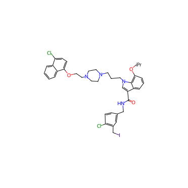 CC(C)Oc1cccc2c(C(=O)NCc3ccc(Cl)c(CI)c3)cn(CCCN3CCN(CCOc4ccc(Cl)c5ccccc45)CC3)c12